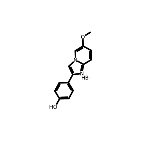 Br.COc1ccc2nc(-c3ccc(O)cc3)cn2c1